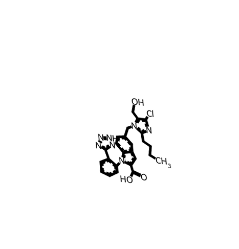 CCCCc1nc(Cl)c(CO)n1Cc1ccc2c(c1)cc(C(=O)O)n2-c1ccccc1-c1nn[nH]n1